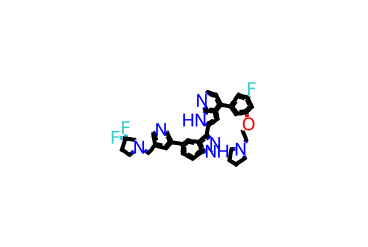 Fc1cc(OCCN2CCCC2)cc(-c2ccnc3[nH]c(-c4n[nH]c5ccc(-c6cncc(CN7CCC(F)(F)C7)c6)cc45)cc23)c1